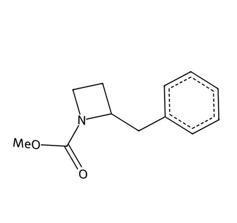 COC(=O)N1CCC1Cc1ccccc1